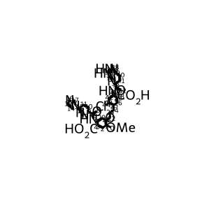 COc1cc(C(=O)O)c(NC(=O)c2ccc(-n3ccnc3)nn2)cc1OCCc1cc(C(=O)O)c(NC(=O)C2=NN3NNN=C3C=C2)cc1Cl